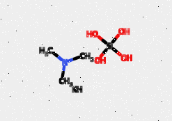 CN(C)C.O[Si](O)(O)O.[KH]